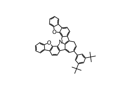 CC(C)(C)c1cc(C2=CCc3c4ccc5c6ccccc6oc5c4n4c3c(c3ccc5c6ccccc6oc5c34)=C2)cc(C(C)(C)C)c1